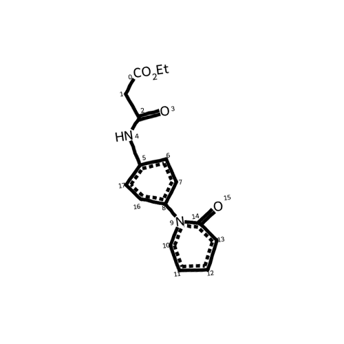 CCOC(=O)CC(=O)Nc1ccc(-n2ccccc2=O)cc1